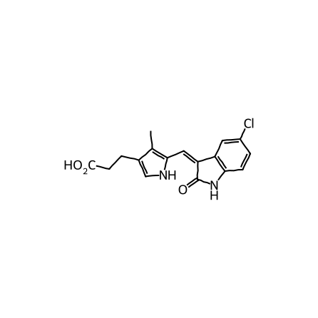 Cc1c(CCC(=O)O)c[nH]c1C=C1C(=O)Nc2ccc(Cl)cc21